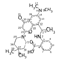 CC(Nc1ccccc1C(=O)O)c1cc(N(C)C)cc2c(=O)cc(N3CCC(C)(C)CC3)oc12